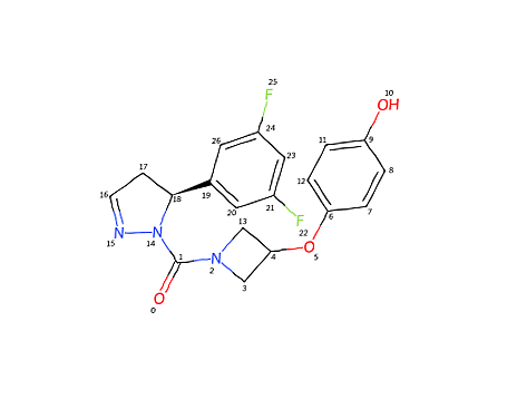 O=C(N1CC(Oc2ccc(O)cc2)C1)N1N=CC[C@H]1c1cc(F)cc(F)c1